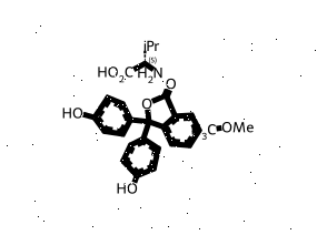 CC(C)[C@H](N)C(=O)O.COC.O=C1OC(c2ccc(O)cc2)(c2ccc(O)cc2)c2ccccc21